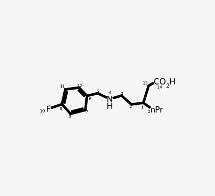 CCCC(CCNCc1ccc(F)cc1)CC(=O)O